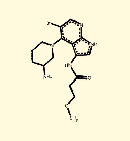 COCCC(=O)Nc1c[nH]c2ncc(Br)c(N3CCCC(N)C3)c12